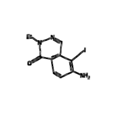 CCn1ncc2c(I)c(N)ccc2c1=O